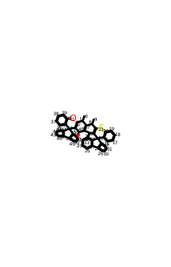 CC1C2=C(C(C)C3=C1C(C)C1=C(C3C)C3(c4ccccc4S1)c1ccccc1-c1ccccc13)C1(c3ccccc3O2)c2ccccc2-c2ccccc21